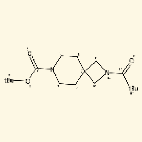 CC(C)(C)OC(=O)N1CCC2(CC1)CN(C(=O)C(C)(C)C)C2